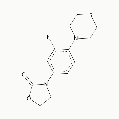 O=C1OCCN1c1ccc(N2CCSCC2)c(F)c1